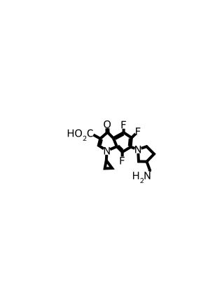 NCC1CCN(c2c(F)c(F)c3c(=O)c(C(=O)O)cn(C4CC4)c3c2F)C1